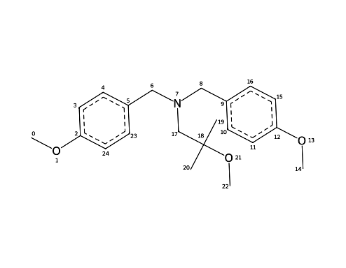 COc1ccc(CN(Cc2ccc(OC)cc2)CC(C)(C)OC)cc1